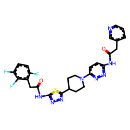 O=C(Cc1cccnc1)Nc1ccc(N2CCC(c3nnc(NC(=O)Cc4c(F)ccc(F)c4F)s3)CC2)nn1